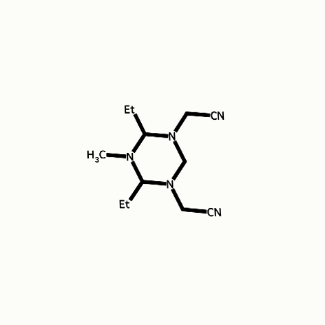 CCC1N(CC#N)CN(CC#N)C(CC)N1C